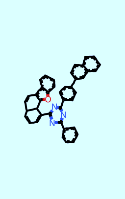 C1=CC2C=Cc3c(oc4ccccc34)C2C(c2nc(-c3ccccc3)nc(-c3ccc(-c4ccc5ccccc5c4)cc3)n2)=C1